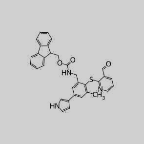 Cc1cc(-c2cc[nH]c2)cc(CNC(=O)OCC2c3ccccc3-c3ccccc32)c1Sc1ncccc1C=O